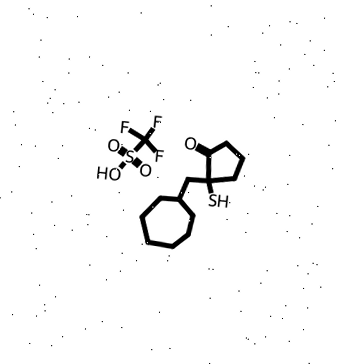 O=C1CCCC1(S)CC1CCCCCC1.O=S(=O)(O)C(F)(F)F